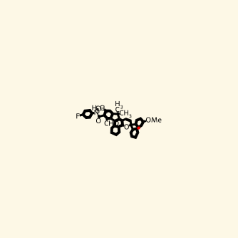 COc1ccc(C2(c3ccccc3)C=Cc3c4c(c5ccccc5c3O2)-c2c(cc(C)c(C(=O)N(C)c3ccc(F)cc3)c2C=O)C4(C)C)cc1